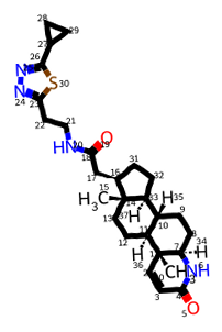 C[C@]12C=CC(=O)N[C@@H]1CC[C@@H]1[C@@H]2CC[C@]2(C)[C@@H](CC(=O)NCCc3nnc(C4CC4)s3)CC[C@@H]12